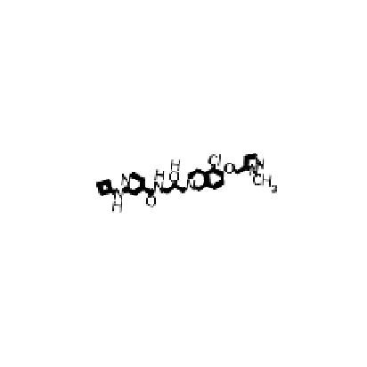 Cn1nccc1COc1ccc2c(c1Cl)CCN(CC(O)CNC(=O)c1ccnc(NC3CCC3)c1)C2